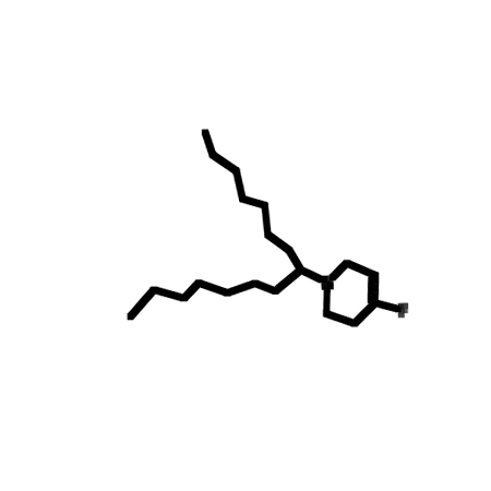 CCCCCCCC(CCCCCCC)N1CC=C(F)CC1